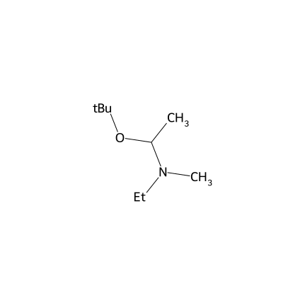 CCN(C)C(C)OC(C)(C)C